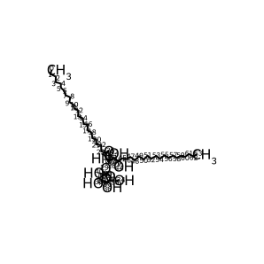 CCCCCCCCCCCCCCCCCCCCCCCCC(=O)N[C@@H](CO[C@H]1O[C@H](CO)[C@H](O)[C@H](O)[C@H]1O)[C@H](O)[C@H](O)CCCCCCCCCCCCCCCCCCC